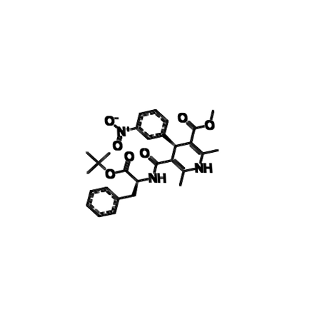 COC(=O)C1=C(C)NC(C)=C(C(=O)N[C@@H](Cc2ccccc2)C(=O)OC(C)(C)C)[C@H]1c1cccc([N+](=O)[O-])c1